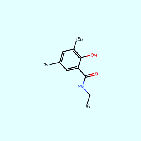 CC(C)CNC(=O)c1cc(C(C)(C)C)cc(C(C)(C)C)c1O